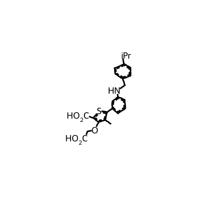 Cc1c(-c2cccc(NCc3ccc(C(C)C)cc3)c2)sc(C(=O)O)c1OCC(=O)O